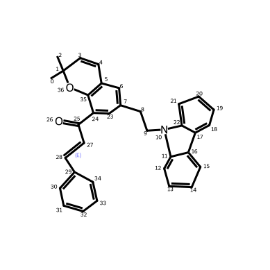 CC1(C)C=Cc2cc(CCn3c4ccccc4c4ccccc43)cc(C(=O)/C=C/c3ccccc3)c2O1